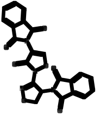 O=C1c2ccccc2C(=O)N1c1con(C2=NOCC2N2C(=O)c3ccccc3C2=O)c1=O